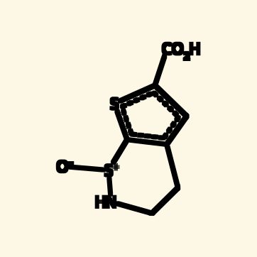 O=C(O)c1cc2c(s1)[S+]([O-])NCC2